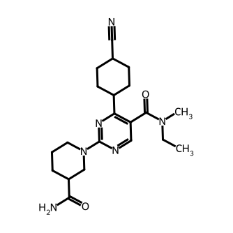 CCN(C)C(=O)c1cnc(N2CCCC(C(N)=O)C2)nc1C1CCC(C#N)CC1